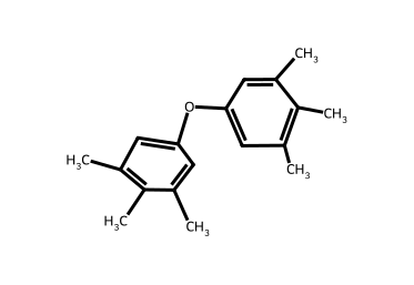 Cc1cc(Oc2cc(C)c(C)c(C)c2)cc(C)c1C